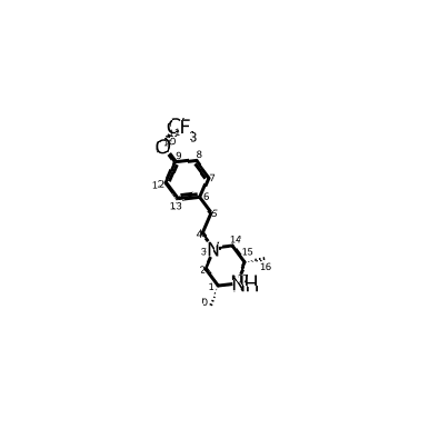 C[C@@H]1CN(CCc2ccc(OC(F)(F)F)cc2)C[C@H](C)N1